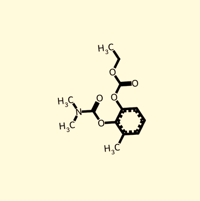 CCOC(=O)Oc1cccc(C)c1OC(=O)N(C)C